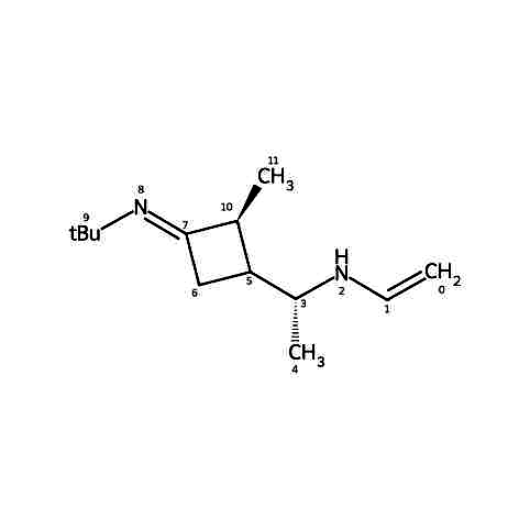 C=CN[C@H](C)C1C/C(=N\C(C)(C)C)[C@H]1C